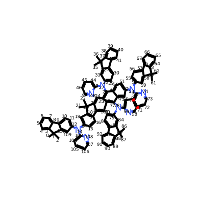 CC1(C)c2ccccc2-c2ccc(N(c3ccc4c(c3)C(C)(C)c3cc5c(N(c6ccc7c(c6)C(C)(C)c6ccccc6-7)c6ccccn6)c6ccc(N(c7ccc8c(c7)C(C)(C)c7ccccc7-8)c7ccccn7)cc6c(N(c6ccc7c(c6)C(C)(C)c6ccccc6-7)c6ccccn6)c5cc3-4)c3ccccn3)cc21